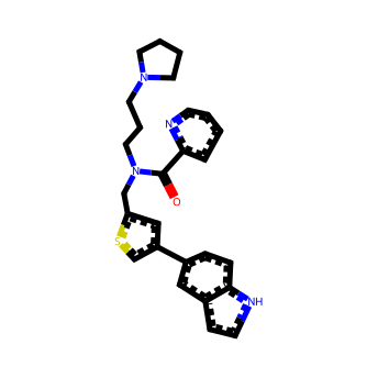 O=C(c1ccccn1)N(CCCN1CCCC1)Cc1cc(-c2ccc3[nH]ccc3c2)cs1